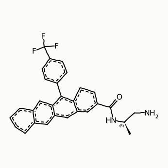 C[C@H](CN)NC(=O)c1ccc2c(-c3ccc(C(F)(F)F)cc3)c3cc4ccccc4cc3cc2c1